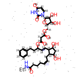 CCNC(=O)CCC/C=C\CC1C(O)CC(O)C1/C=C/C(CCc1ccccc1)OC(=O)CC(=O)OC[C@@H]1O[C@H](n2ccc(=O)[nH]c2=O)C(O)C1O